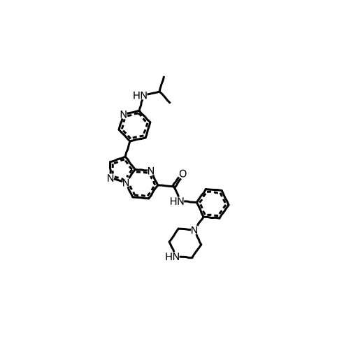 CC(C)Nc1ccc(-c2cnn3ccc(C(=O)Nc4ccccc4N4CCNCC4)nc23)cn1